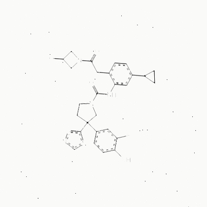 Cc1ccc(C2(c3ncns3)CCN(C(=O)Nc3cc(C4CC4)ccc3CC(=O)N3CC(O)C3)C2)cc1F